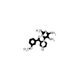 COc1cccc(C(=O)C2CNCCN2c2nc(N)nc(N)c2N)c1